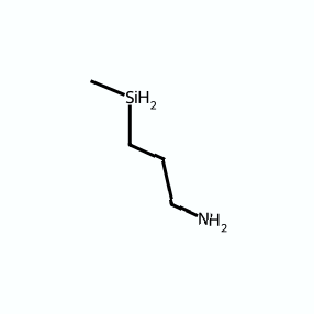 C[SiH2]CCCN